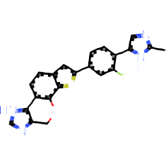 Cc1ncc(-c2ccc(-c3cc4ccc5c(c4s3)OCc3nc[nH]c3-5)cc2F)[nH]1